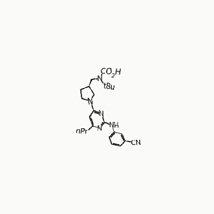 CCCc1cc(N2CC[C@@H](CN(C(=O)O)C(C)(C)C)C2)nc(Nc2cccc(C#N)c2)n1